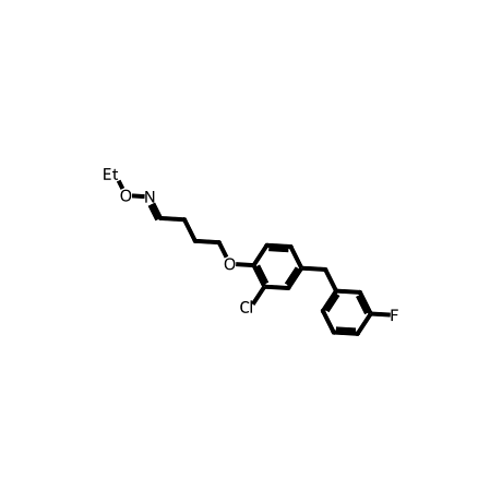 CCON=CCCCOc1ccc(Cc2cccc(F)c2)cc1Cl